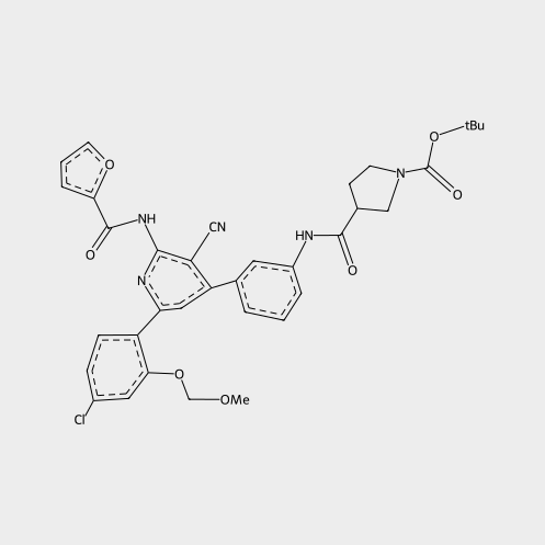 COCOc1cc(Cl)ccc1-c1cc(-c2cccc(NC(=O)C3CCN(C(=O)OC(C)(C)C)C3)c2)c(C#N)c(NC(=O)c2ccco2)n1